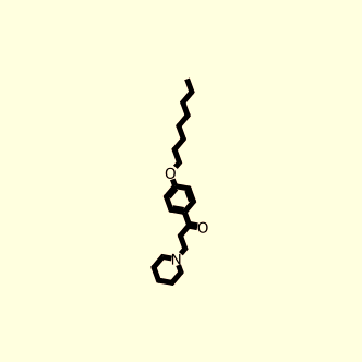 CCCCCCCCOc1ccc(C(=O)CCN2CCCCC2)cc1